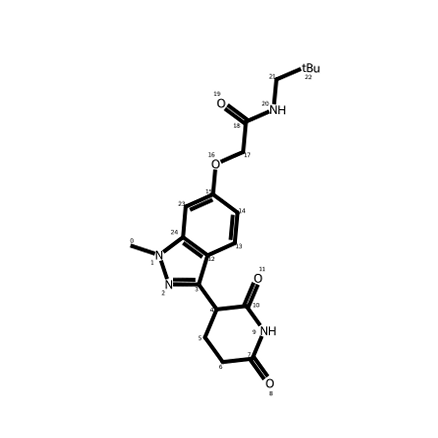 Cn1nc(C2CCC(=O)NC2=O)c2ccc(OCC(=O)NCC(C)(C)C)cc21